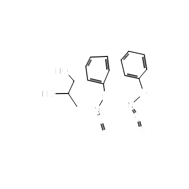 CC(O)CO.O=C=NOc1ccccc1.O=C=NOc1ccccc1